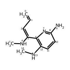 C=C/C=C(/NC)c1nc(N)ccc1NC